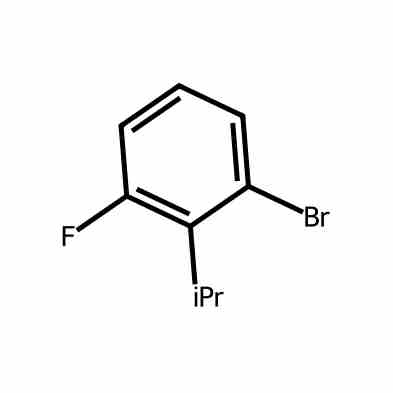 CC(C)c1c(F)cccc1Br